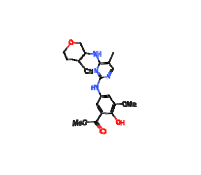 COC(=O)c1cc(Nc2ncc(C)c(NC3COCCC3C#N)n2)cc(OC)c1O